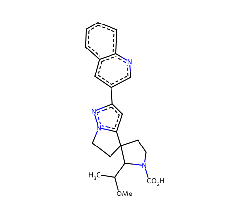 COC(C)C1N(C(=O)O)CCC12CCn1nc(-c3cnc4ccccc4c3)cc12